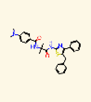 CN(C)c1ccc(C(=O)NC(C)(C)C(=O)Nc2nc(-c3ccccc3)c(Cc3ccccc3)s2)cc1